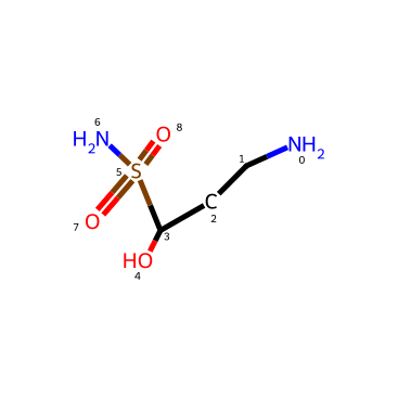 NCCC(O)S(N)(=O)=O